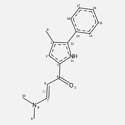 Cc1cc(C(=O)/C=C/N(C)C)[nH]c1-c1ccccc1